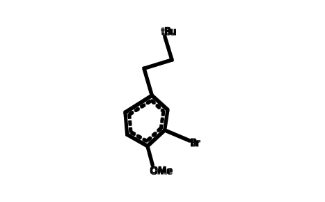 COc1ccc(CCC(C)(C)C)cc1Br